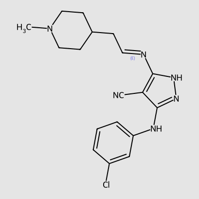 CN1CCC(C/C=N/c2[nH]nc(Nc3cccc(Cl)c3)c2C#N)CC1